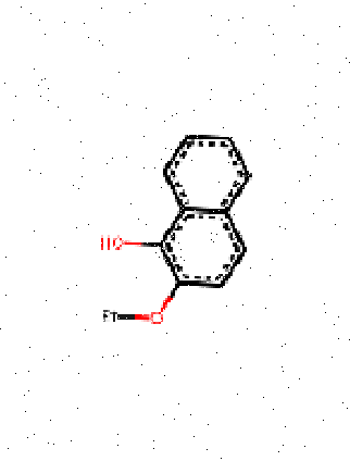 CCOc1ccc2ccccc2c1O